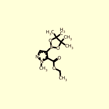 CCOC(=O)c1c(B2OC(C)(C)C(C)(C)O2)cnn1C